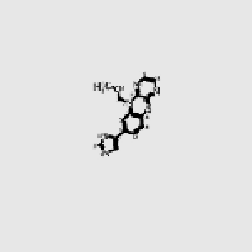 COCN1c2cc(-c3cncs3)ccc2Sc2nccnc21